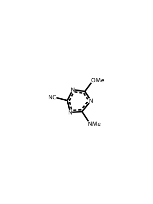 CNc1nc(C#N)nc(OC)n1